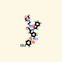 CC(C)(C)c1ccc(S(=O)(=O)Nc2ccc3c(c2)cc(C(=O)NCCN2CCOCC2)n3-c2cc3ccccc3o2)cc1